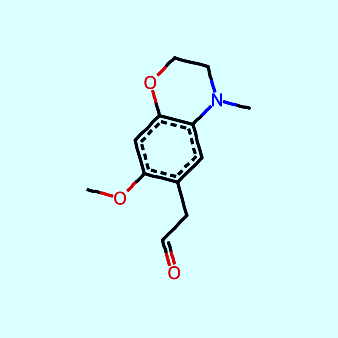 COc1cc2c(cc1CC=O)N(C)CCO2